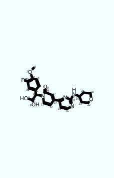 COc1ccc(C(C(O)O)n2ccc(-c3ccnc(NC4CCOCC4)n3)cc2=O)cc1F